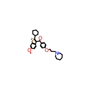 COc1ccc2c(C(=O)c3ccc(OCCCN4CCCCCC4)cc3)c(C3CCCCC3)sc2c1